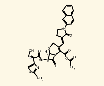 Nc1nc(/C(=N/O)C(=O)N[C@@H]2C(=O)N3C(C(=O)OC(=O)C(F)(F)F)=C(C=C4CCN(c5ccc6ccccc6c5)C4=O)CS[C@H]23)cs1